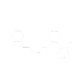 CC(C)c1ccccc1-c1cc(F)ccc1OCC(=O)N(NC(=O)c1ccccc1)C(C)C